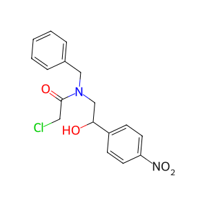 O=C(CCl)N(Cc1ccccc1)CC(O)c1ccc([N+](=O)[O-])cc1